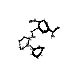 COc1ccc(C(N)=O)cc1CN[C@H]1CCCN[C@H]1c1ccccc1